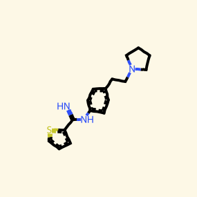 N=C(Nc1ccc(CCN2CCCC2)cc1)c1cccs1